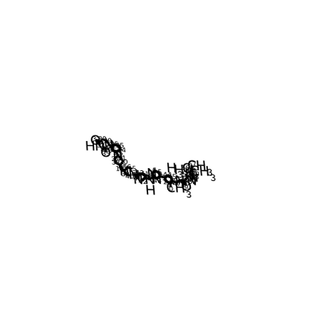 Cc1cc(-c2ccnc(Nc3ccc(N4CCN(CC5CCN(c6cccc(N7CCC(=O)NC7=O)c6)CC5)CC4)nc3)n2)ccc1CNC(=O)c1cn(C(C)(C)C)nn1